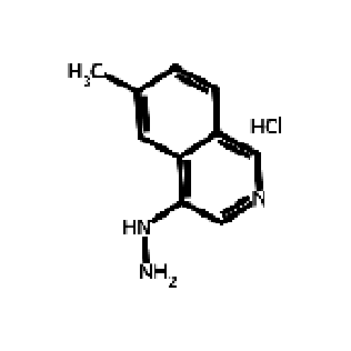 Cc1ccc2cncc(NN)c2c1.Cl